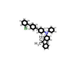 CC1(C)c2ccccc2-c2ccc(N(c3ccccc3)c3ccc(-c4ccc(-c5ccccc5Br)cc4)cc3)cc21